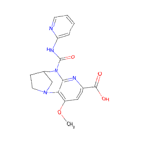 COc1cc(C(=O)O)nc2c1N1CCC(C1)N2C(=O)Nc1ccccn1